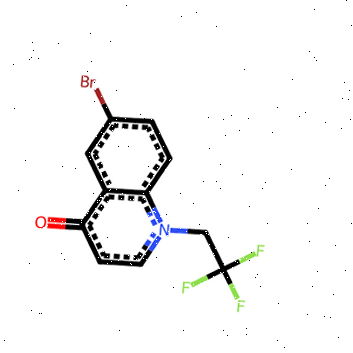 O=c1ccn(CC(F)(F)F)c2ccc(Br)cc12